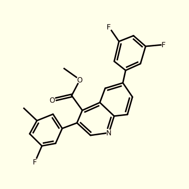 COC(=O)c1c(-c2cc(C)cc(F)c2)cnc2ccc(-c3cc(F)cc(F)c3)cc12